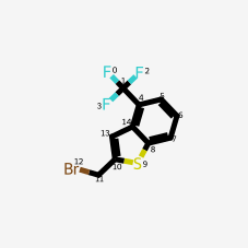 FC(F)(F)c1cccc2sc(CBr)cc12